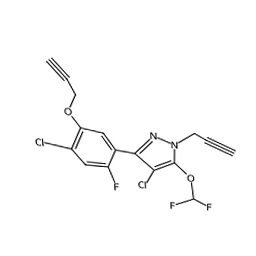 C#CCOc1cc(-c2nn(CC#C)c(OC(F)F)c2Cl)c(F)cc1Cl